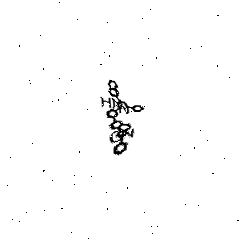 C1=C(c2ccccc2)N=C(c2cccc(-c3ccc4c(ccc5nc(-c6ccccc6)oc54)c3)c2)NC1c1ccc2ccccc2c1